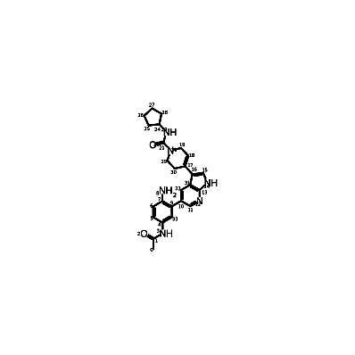 CC(=O)Nc1ccc(N)c(-c2cnc3[nH]cc(C4=CCN(C(=O)NC5CCCC5)CC4)c3c2)c1